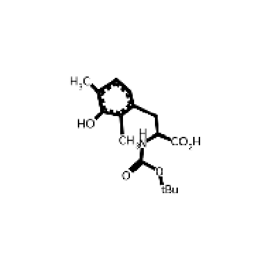 Cc1ccc(CC(NC(=O)OC(C)(C)C)C(=O)O)c(C)c1O